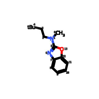 CN(CCC(C)(C)C)c1nc2ccccc2o1